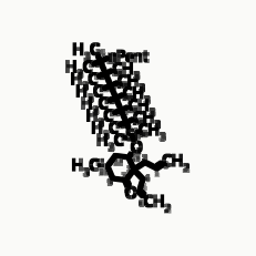 C=CCC1(CC=C)C(=O)C[C@H](C)CC1O[Si](C)(C)C(C)(C)C(C)(C)C(C)(C)C(C)(C)C(C)(C)C(C)(C)CCCCC